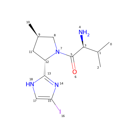 CC(C)[C@H](N)C(=O)N1C[C@H](C)C[C@H]1c1nc(I)c[nH]1